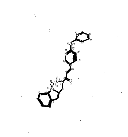 CN(Cc1cc2ccccc2n1C)C(=O)C=Cc1ccc(Nc2ccccn2)nc1